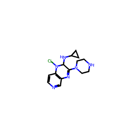 ClN1c2ccncc2N=C(N2CCNCC2)C1NC1CC1